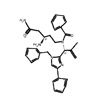 C=C(C)[C@H](c1nc(-c2ccccc2)cn1Cc1ccccc1)N(CC[C@@H](N)CC(N)=O)C(=O)c1ccccc1